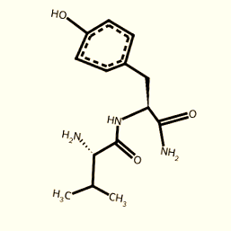 CC(C)[C@H](N)C(=O)N[C@@H](Cc1ccc(O)cc1)C(N)=O